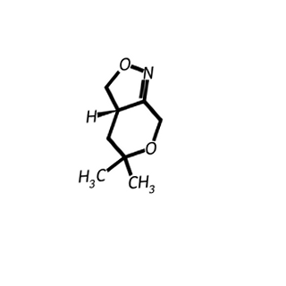 CC1(C)C[C@@H]2CON=C2CO1